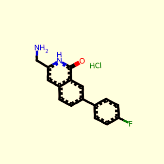 Cl.NCc1cc2ccc(-c3ccc(F)cc3)cc2c(=O)[nH]1